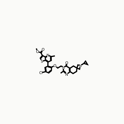 COC(=O)c1csc2c(-c3cc(Cl)ccc3OCCn3c(C)nc4c(c3=O)CC3(CC4)CN(C4CC4)C3)cc(C)nc12